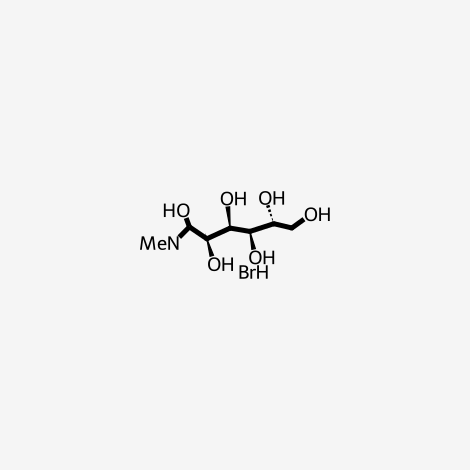 Br.CNC(O)[C@H](O)[C@@H](O)[C@H](O)[C@H](O)CO